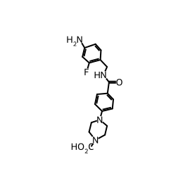 Nc1ccc(CNC(=O)c2ccc(N3CCN(C(=O)O)CC3)cc2)c(F)c1